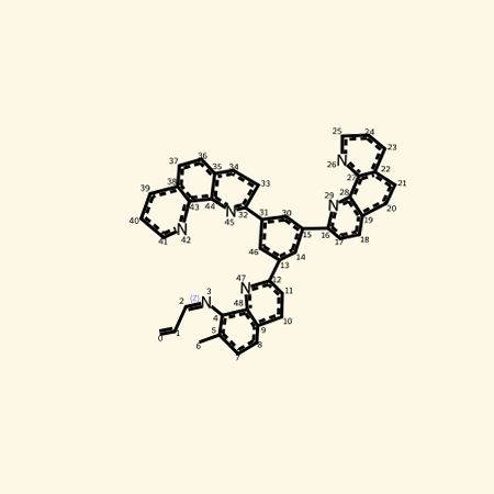 C=C/C=N\c1c(C)ccc2ccc(-c3cc(-c4ccc5ccc6cccnc6c5n4)cc(-c4ccc5ccc6cccnc6c5n4)c3)nc12